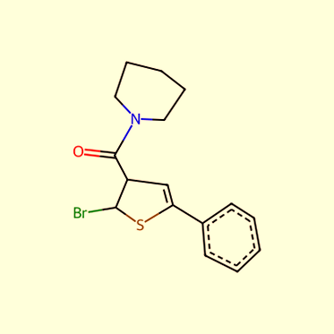 O=C(C1C=C(c2ccccc2)SC1Br)N1CCCCC1